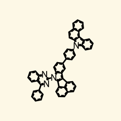 c1ccc(-c2nc(-n3c4c(c5cc(-c6ccc(-n7c8ccccc8c8c9ccccc9ccc87)cc6)ccc53)-c3cccc5cccc-4c35)nc3ccccc23)cc1